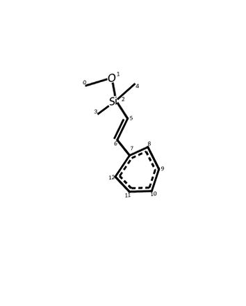 CO[Si](C)(C)C=Cc1ccccc1